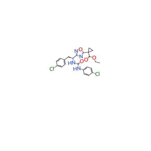 CCOC(=O)C1(c2nc([C@H](Cc3ccc(Cl)cc3)NC(=O)Nc3ccc(Cl)cc3)no2)CC1